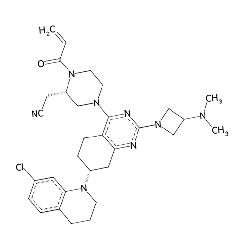 C=CC(=O)N1CCN(c2nc(N3CC(N(C)C)C3)nc3c2CC[C@@H](N2CCCc4ccc(Cl)cc42)C3)C[C@@H]1CC#N